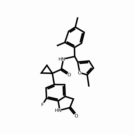 Cc1ccc(C(NC(=O)C2(c3cc(F)c4c(c3)CC(=O)N4)CC2)c2ccc(C)o2)c(C)c1